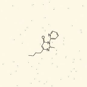 CCCCc1cc(=O)n(-c2ccccn2)c(C)n1